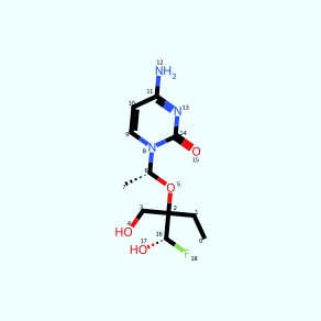 CCC(CO)(O[C@H](C)n1ccc(N)nc1=O)[C@@H](O)F